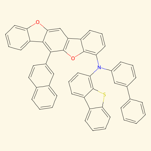 c1ccc(-c2cccc(N(c3cccc4c3oc3c(-c5ccc6ccccc6c5)c5c(cc34)oc3ccccc35)c3cccc4c3sc3ccccc34)c2)cc1